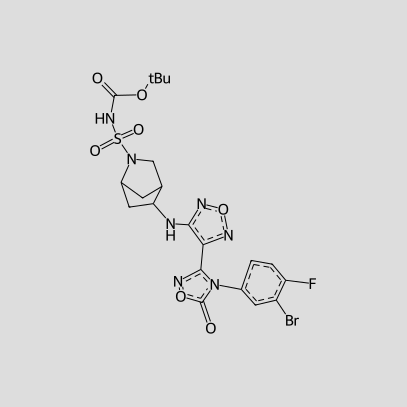 CC(C)(C)OC(=O)NS(=O)(=O)N1CC2CC1CC2Nc1nonc1-c1noc(=O)n1-c1ccc(F)c(Br)c1